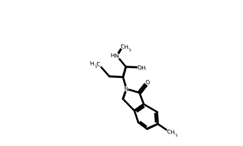 CCC(C(O)NC)N1Cc2ccc(C)cc2C1=O